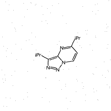 CC(C)c1ccn2nnc(C(C)C)c2n1